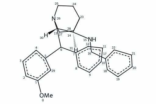 COc1cccc(C(c2ccccc2)[C@H]2[C@H](NCc3ccccc3)C3CCN2CC3)c1